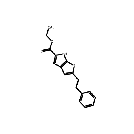 CCOC(=O)c1cc2cc(CCc3ccccc3)sc2[nH]1